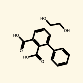 O=C(O)c1cccc(-c2ccccc2)c1C(=O)O.OCCO